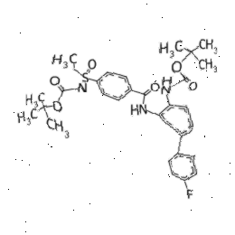 CCS(=O)(=NC(=O)OC(C)(C)C)c1ccc(C(=O)Nc2cc(-c3ccc(F)cc3)ccc2NC(=O)OC(C)(C)C)cc1